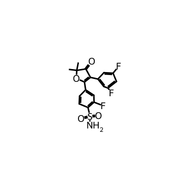 CC1(C)OC(c2ccc(S(N)(=O)=O)c(F)c2)=C(c2cc(F)cc(F)c2)C1=O